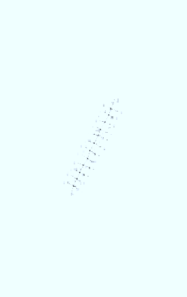 NC(Br)(Br)C(Br)(Br)C(Br)(Br)C(Br)(Br)C(Br)(Br)C(Br)(Br)C(Br)(Br)C(Br)(Br)C(Br)(Br)C(Br)(Br)C(Br)(Br)C(Br)(Br)Br